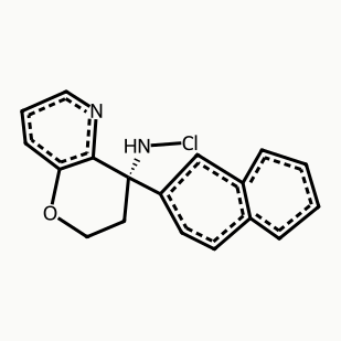 ClN[C@]1(c2ccc3ccccc3c2)CCOc2cccnc21